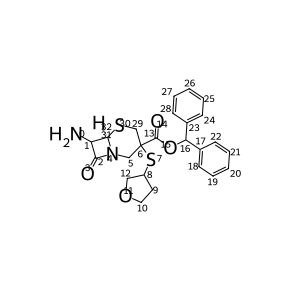 NC1C(=O)N2CC(SC3CCOC3)(C(=O)OC(c3ccccc3)c3ccccc3)CS[C@H]12